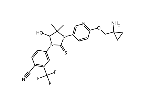 CC1(C)C(O)N(c2ccc(C#N)c(C(F)(F)F)c2)C(=S)N1c1ccc(OCC2(N)CC2)nc1